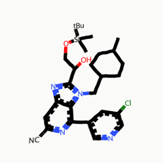 CC1CCC(Cn2c(C(O)CO[Si](C)(C)C(C)(C)C)nc3cc(C#N)nc(-c4cncc(Cl)c4)c32)CC1